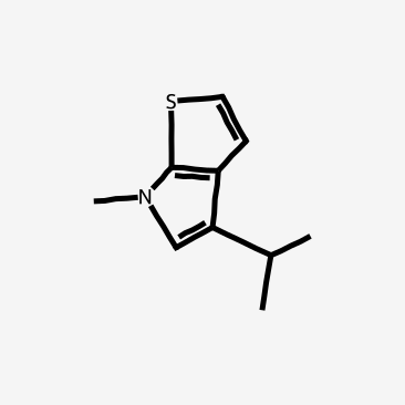 CC(C)c1cn(C)c2sccc12